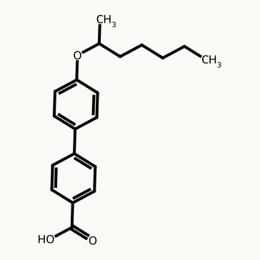 CCCCCC(C)Oc1ccc(-c2ccc(C(=O)O)cc2)cc1